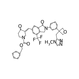 Cn1cnnc1CC1(c2cccc(N3Cc4c(cc(/C=C5\CN(C(=O)OCc6ccccc6)CCC5=O)cc4C(F)(F)F)C3=O)c2)COC1